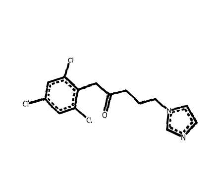 O=C(CCCn1ccnc1)Cc1c(Cl)cc(Cl)cc1Cl